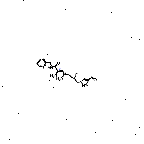 N/C(=C\N(N)CCC(F)Cn1cc(C=O)nn1)C(=O)NCc1ccccn1